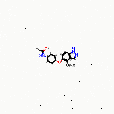 CCC(=O)N[C@H]1CC[C@@H](Oc2ccc3[nH]ncc3c2OC)CC1